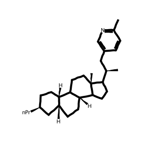 CCC[C@H]1CC[C@@H]2C3CC[C@@]4(C)C(CCC4[C@H](C)Cc4ccc(C)nc4)[C@@H]3CC[C@@H]2C1